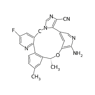 Cc1ccc2c(c1)[C@@H](C)Oc1cc(cnc1N)-c1c(C#N)ncn1Cc1cc(F)cnc1-2